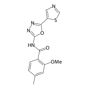 COc1cc(C)ccc1C(=O)Nc1nnc(-c2cncs2)o1